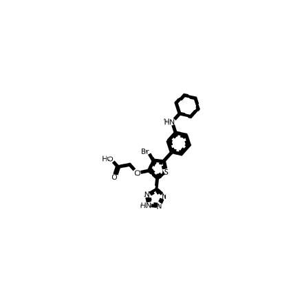 O=C(O)COc1c(-c2nn[nH]n2)sc(-c2cccc(NC3CCCCC3)c2)c1Br